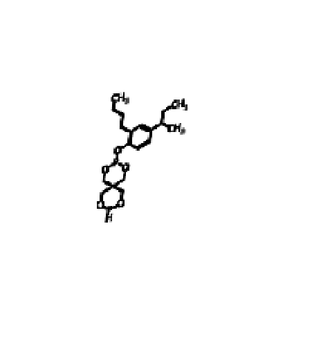 CCCCc1cc(C(C)CC)ccc1OP1OCC2(COPOC2)CO1